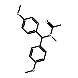 COc1ccc(C(c2ccc(OC)cc2)N(C)C(C)=O)cc1